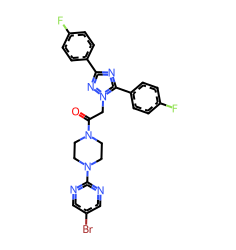 O=C(Cn1nc(-c2ccc(F)cc2)nc1-c1ccc(F)cc1)N1CCN(c2ncc(Br)cn2)CC1